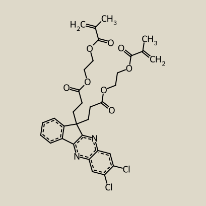 C=C(C)C(=O)OCCOC(=O)CCC1(CCC(=O)OCCOC(=O)C(=C)C)c2ccccc2-c2nc3cc(Cl)c(Cl)cc3nc21